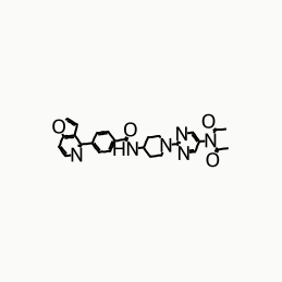 CC(=O)N(C(C)=O)c1cnc(N2CCC(NC(=O)c3ccc(-c4nccc5occc45)cc3)CC2)nc1